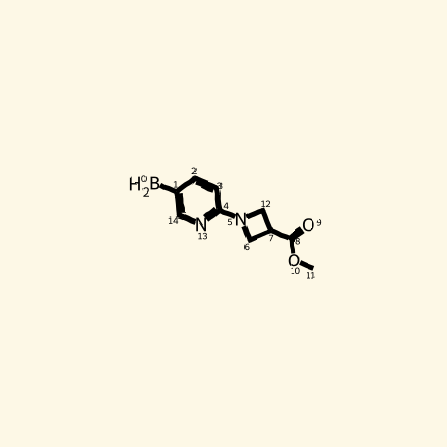 Bc1ccc(N2CC(C(=O)OC)C2)nc1